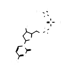 Nc1ccn(C2CC(O)C(CO[PH](O)(O)OP(=O)(O)OP(=O)(O)O)O2)c(=O)n1